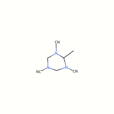 CC1N(C#N)CN(C#N)CN1C#N